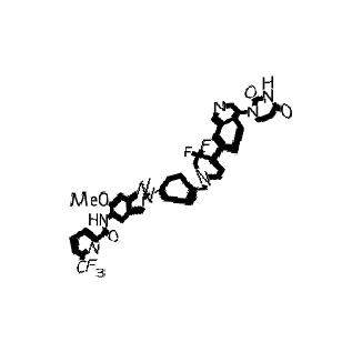 COc1cc2nn([C@H]3CC[C@H](CN4CC=C(c5ccc6c(N7CCC(=O)NC7=O)cncc6c5)C(F)(F)C4)CC3)cc2cc1NC(=O)c1cccc(C(F)(F)F)n1